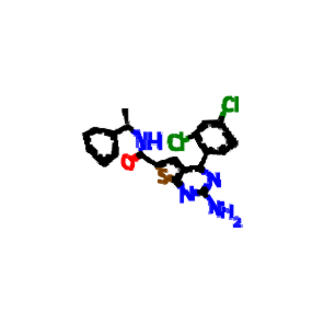 C[C@@H](NC(=O)c1cc2c(-c3ccc(Cl)cc3Cl)nc(N)nc2s1)c1ccccc1